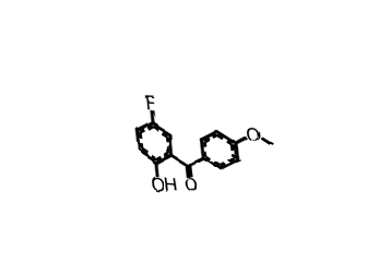 COc1ccc(C(=O)c2cc(F)ccc2O)cc1